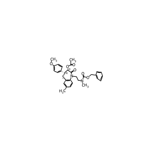 COc1ccc([C@H]2Sc3cc(C)ccc3N(CCN(C)C(=O)OCc3ccccc3)C(=O)[C@H]2OC(C)=O)cc1